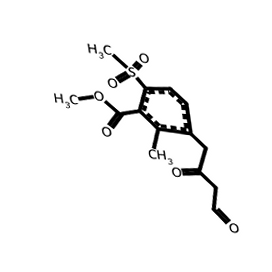 COC(=O)c1c(S(C)(=O)=O)ccc(CC(=O)CC=O)c1C